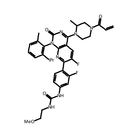 C=CC(=O)N1CCN(c2nc(=O)n(-c3c(C)cccc3C(C)C)c3nc(-c4ccc(NC(=O)NCCOC)cc4F)c(F)cc23)C(C)C1